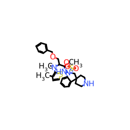 Cc1ccsc1N(C)C(COCc1ccccc1)C(=O)N[N+]1(S(C)(=O)=O)CC2(CCNCC2)c2ccccc21